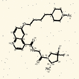 CC(=O)N1CCC(CCCCOc2ccc3nccc(C(=O)NCC(=O)N4CC(F)(F)C[C@@H]4C#N)c3c2)CC1